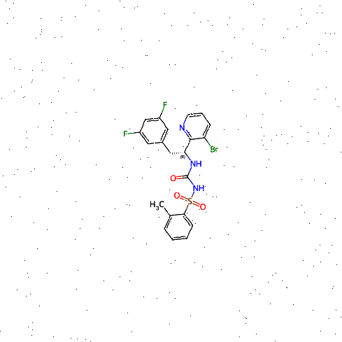 Cc1ccccc1S(=O)(=O)NC(=O)N[C@H](Cc1cc(F)cc(F)c1)c1ncccc1Br